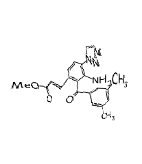 COC(=O)C=Cc1ccc(-n2ccnn2)c(N)c1C(=O)c1cc(C)cc(C)c1